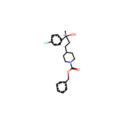 C[C@@](O)(CCC1CCN(C(=O)OCc2ccccc2)CC1)c1ccc(F)cc1